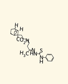 CC(C/C=C\CC[C@@]1(C(=O)O)[C@H]2C[C@@]13CC[C@H]2C3)=NNC(=S)Nc1ccccc1